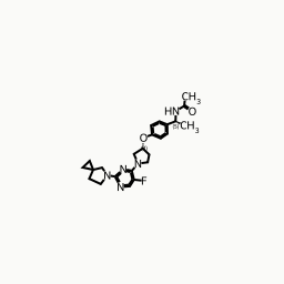 CC(=O)N[C@@H](C)c1ccc(O[C@@H]2CCN(c3nc(N4CCC5(CC5)C4)ncc3F)C2)cc1